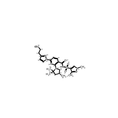 Cc1nn(C)cc1S(=O)(=O)NC(=O)c1ccc(-n2ccc(CCC(C)(C)C)n2)nc1N1C[C@@H](C)CC1(C)C